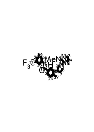 CNc1nccnc1N1CC[C@@H](c2cc(C(=O)Nc3cncc(C(F)(F)F)c3)ccc2C)C1